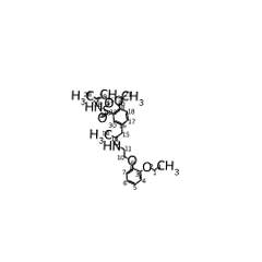 CCOc1ccccc1OCCNC(C)Cc1ccc(OC)c(S(=O)(=O)NC(C)C)c1